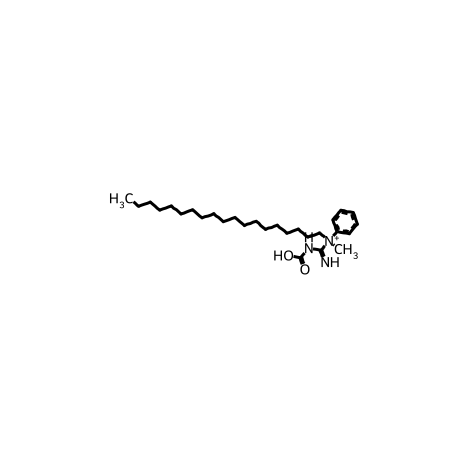 CCCCCCCCCCCCCCCCCCC[N+](C)(C(=N)NC(=O)O)c1ccccc1